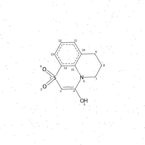 O=S1(=O)C=C(O)N2CCCc3cccc1c32